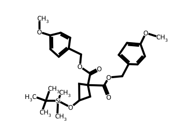 COc1ccc(COC(=O)C2(C(=O)OCc3ccc(OC)cc3)CC(O[Si](C)(C)C(C)(C)C)C2)cc1